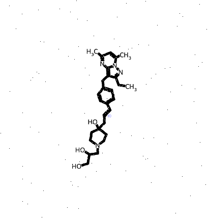 CCc1nn2c(C)cc(C)nc2c1Cc1ccc(/C=C/CC2(O)CCN(CC(O)CO)CC2)cc1